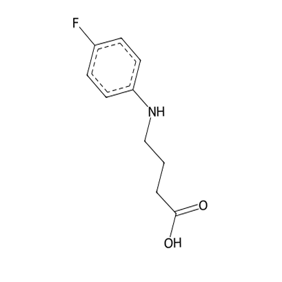 O=C(O)CCCNc1ccc(F)cc1